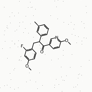 COc1ccc(CC(C(=O)c2ccc(OC)nc2)c2cccc(C)c2)c(F)c1